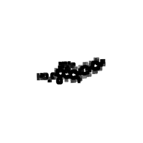 CNn1cc(C(=O)O)c(=O)c2cc3cc(F)c(N4CCN(c5ccc(F)cc5)CC4)cc3nc21